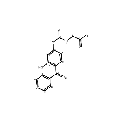 C=C(C)COC(C)Oc1ccc(C(=O)c2ccccc2)c(O)c1